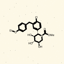 CCOc1ccc(Cc2cc([C@H]3[C@H](O)[C@@H](O)[C@H](O)CN3C(=O)OC)ccc2Cl)cc1